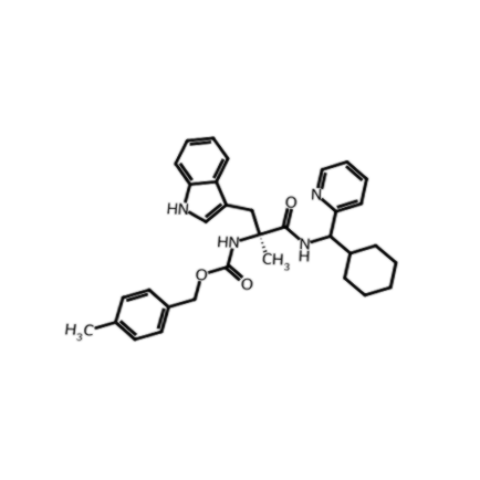 Cc1ccc(COC(=O)N[C@@](C)(Cc2c[nH]c3ccccc23)C(=O)NC(c2ccccn2)C2CCCCC2)cc1